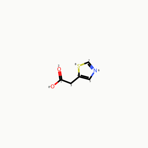 [O]C(=O)Cc1cncs1